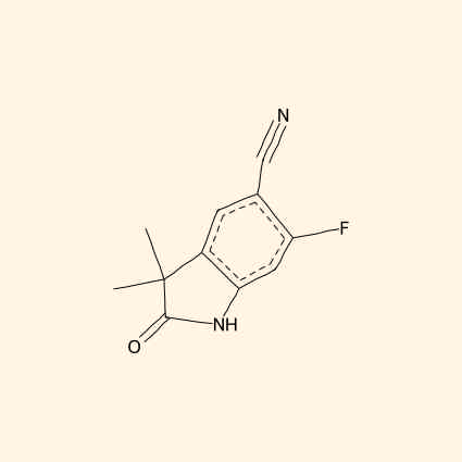 CC1(C)C(=O)Nc2cc(F)c(C#N)cc21